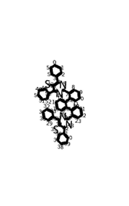 c1ccc(-c2nc(-c3ccccc3-c3ccccc3-c3ccccc3-c3nc(-c4ccccc4)c4sc5ccccc5c4n3)nc3c2sc2ccccc23)cc1